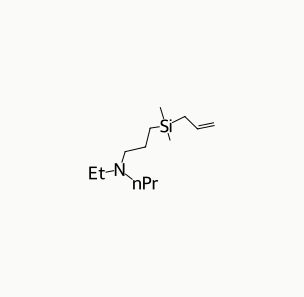 C=CC[Si](C)(C)CCCN(CC)CCC